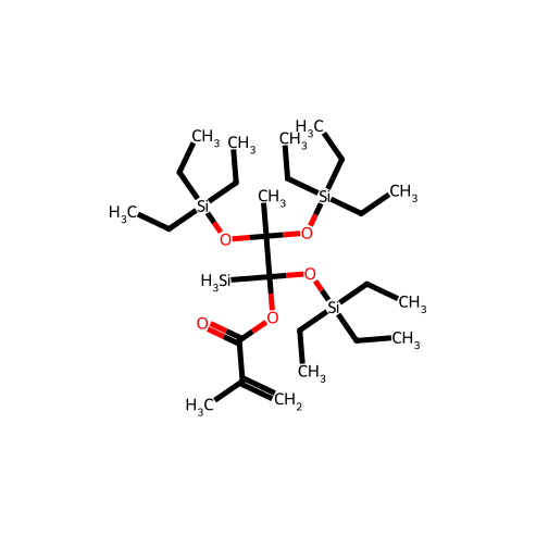 C=C(C)C(=O)OC([SiH3])(O[Si](CC)(CC)CC)C(C)(O[Si](CC)(CC)CC)O[Si](CC)(CC)CC